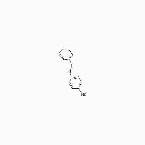 [C-]#[N+]c1ccc(NCc2ccccc2)cc1